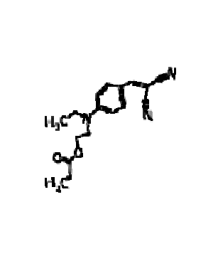 C=CC(=O)OCCN(CC)c1ccc(C=C(C#N)C#N)cc1